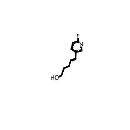 OCCCC=Cc1ccc(F)nc1